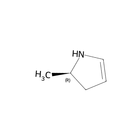 C[C@@H]1CC=CN1